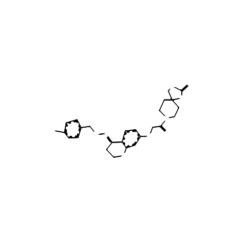 O=C1NCC2(CCN(C(=O)COc3ccc4c(c3)OCC/C4=N\OCc3ccc(C(F)(F)F)cc3)CC2)O1